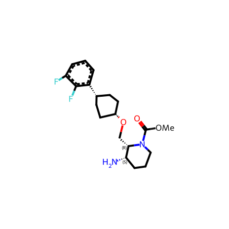 COC(=O)N1CCC[C@H](N)[C@@H]1CO[C@H]1CC[C@@H](c2cccc(F)c2F)CC1